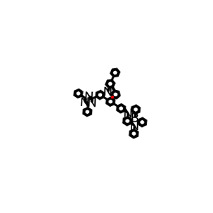 c1ccc(-c2ccc3c(c2)c2ccccc2n3-c2ccc(-c3nc(-c4ccccc4)nc(-c4ccccc4)n3)cc2-c2ccc(-c3ccc(N4c5ccccc5B5c6ccccc6N(c6ccccc6)c6cccc4c65)cc3)cc2)cc1